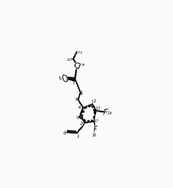 C=Cc1cc(CCC(=O)OCC)cc(F)c1F